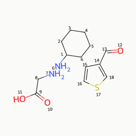 NC1CCCCC1.NCC(=O)O.O=Cc1ccsc1